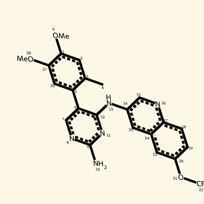 COc1cc(C)c(-c2cnc(N)nc2Nc2cnc3ccc(OC(F)(F)F)cc3c2)cc1OC